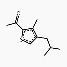 CC(=O)c1scc(CC(C)C)c1C